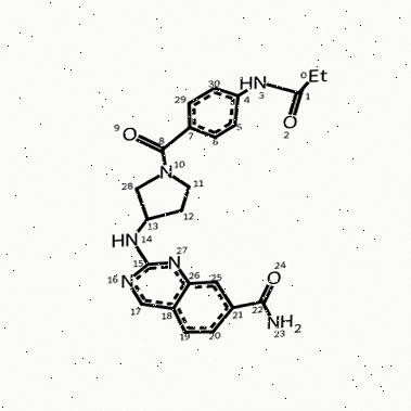 CCC(=O)Nc1ccc(C(=O)N2CCC(Nc3ncc4ccc(C(N)=O)cc4n3)C2)cc1